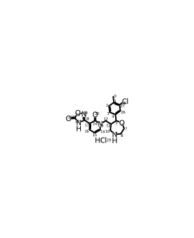 Cc1ccc(C2OCCNCC2Cn2cccc(-c3noc(=O)[nH]3)c2=O)cc1Cl.Cl